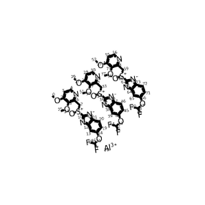 COc1ccnc(C[S+]([O-])c2nc3cc(OC(F)F)ccc3[n-]2)c1OC.COc1ccnc(C[S+]([O-])c2nc3cc(OC(F)F)ccc3[n-]2)c1OC.COc1ccnc(C[S+]([O-])c2nc3cc(OC(F)F)ccc3[n-]2)c1OC.[Al+3]